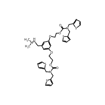 CN(C)NCc1cc(OCCOC(=O)N(Cc2cccs2)Cc2cccs2)cc(OCCOC(=O)N(Cc2cccs2)Cc2cccs2)c1